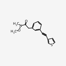 CON(C)C(=O)Cc1cccc(C#Cc2ccsc2)c1